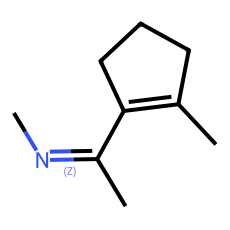 C/N=C(/C)C1=C(C)CCC1